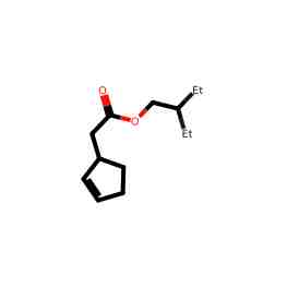 CCC(CC)COC(=O)CC1C=CCC1